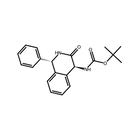 CC(C)(C)OC(=O)N[C@@H]1C(=O)N[C@@H](c2ccccc2)c2ccccc21